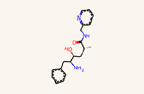 C[C@H](C[C@H](O)[C@@H](N)Cc1ccccc1)C(=O)NCc1ccccn1